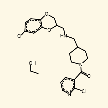 CCO.O=C(c1cccnc1Cl)N1CCC(CNCC2COc3ccc(Cl)cc3O2)CC1